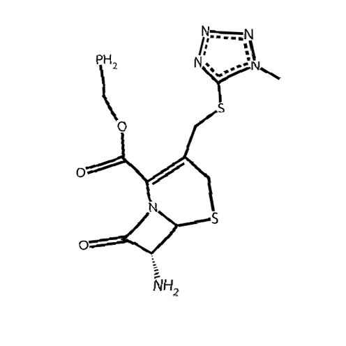 Cn1nnnc1SCC1=C(C(=O)OCP)N2C(=O)[C@@H](N)C2SC1